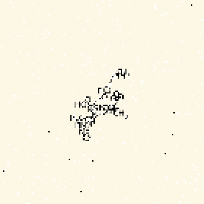 CNCC#Cc1ccc(OCCCc2sc(N(CCCC(O)C[N+](C)(C)CCCS(=O)(=O)[O-])c3cc(C)c(Nc4nc5ccccc5s4)nn3)nc2C(=O)O)c(F)c1